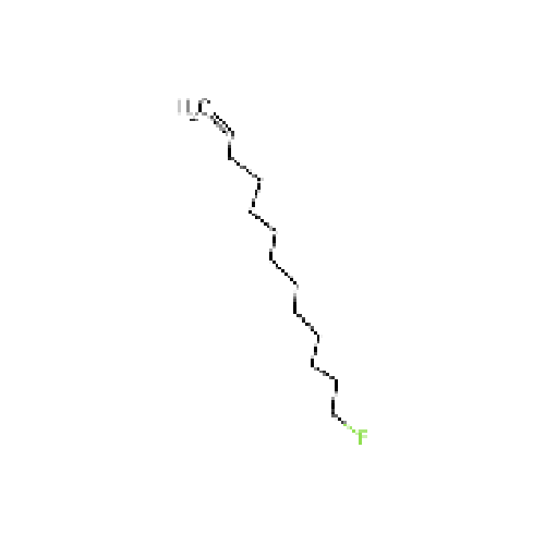 C=CCCCCCCCCCCCF